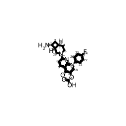 N[C@H]1C[C@H]2CCN(c3ccc4c(=O)c(OC(=O)O)cn(-c5ccc(F)cc5)c4n3)C[C@H]21